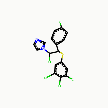 Clc1ccc(C(Sc2cc(Cl)c(Cl)c(Cl)c2)C(Cl)n2ccnc2)cc1